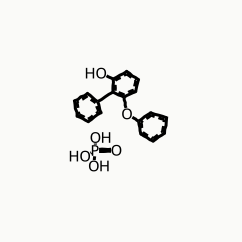 O=P(O)(O)O.Oc1cccc(Oc2ccccc2)c1-c1ccccc1